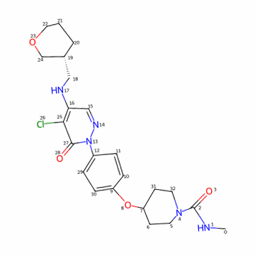 CNC(=O)N1CCC(Oc2ccc(-n3ncc(NC[C@H]4CCCOC4)c(Cl)c3=O)cc2)CC1